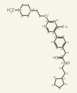 CN1CCN(CCOc2ncc(-c3ccc(CC(=O)NCCC4CCCC4)cc3)c(F)n2)CC1